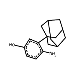 Nc1ccc(O)cc1C12CC3CC(CC(C3)C1)C2